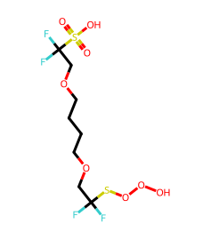 O=S(=O)(O)C(F)(F)COCCCCOCC(F)(F)SOOO